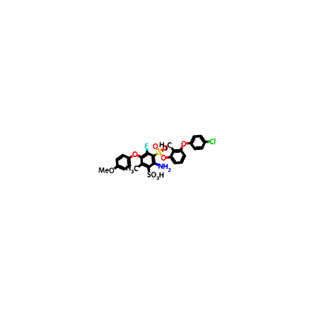 COc1ccc(Oc2c(C)c(S(=O)(=O)O)c(N)c(S(=O)(=O)Oc3cccc(Oc4ccc(Cl)cc4)c3C)c2F)cc1